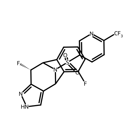 O=S(=O)(c1ccc(C(F)(F)F)nc1)N1C2c3c[nH]nc3[C@H](F)C1c1cccc(F)c12